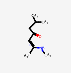 CN/C(C)=C\C(=O)CC(C)C